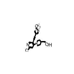 Cn1cc(C#Cc2cnc(Cl)cc2N2CCC(CO)CC2)cn1